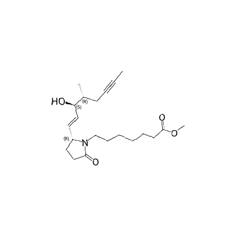 CC#CC[C@@H](C)[C@H](O)C=C[C@H]1CCC(=O)N1CCCCCCC(=O)OC